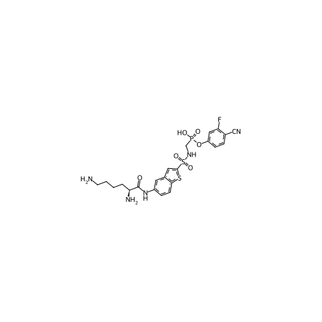 N#Cc1ccc(OP(=O)(O)CNS(=O)(=O)c2cc3cc(NC(=O)[C@@H](N)CCCCN)ccc3s2)cc1F